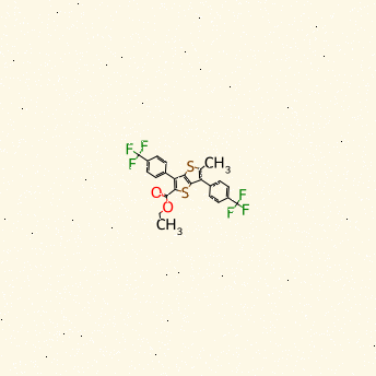 CCOC(=O)c1sc2c(-c3ccc(C(F)(F)F)cc3)c(C)sc2c1-c1ccc(C(F)(F)F)cc1